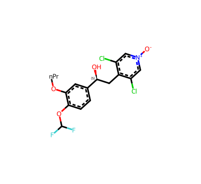 CCCOc1cc([C@@H](O)Cc2c(Cl)c[n+]([O-])cc2Cl)ccc1OC(F)F